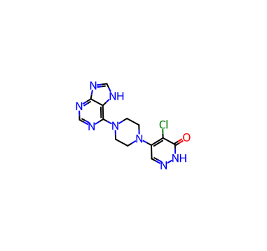 O=c1[nH]ncc(N2CCN(c3ncnc4nc[nH]c34)CC2)c1Cl